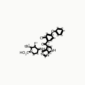 CC(C)(C)C1C(F)C(Nc2ncnc3[nH]cc(C(=O)c4ccc(Oc5ccccc5)cc4Cl)c23)CCN1C(=O)O